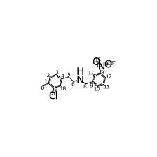 Cc1ccc(CCNCc2cccc([N+](=O)[O-])c2)cc1Cl